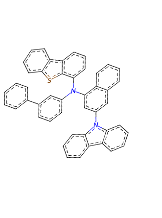 c1ccc(-c2cccc(N(c3cc(-n4c5ccccc5c5ccccc54)cc4ccccc34)c3cccc4c3sc3ccccc34)c2)cc1